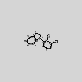 Clc1cccc(N2CCc3ccccc32)c1Cl